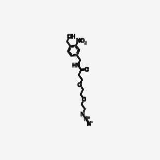 [N-]=[N+]=NCCOCCOCCC(=O)NCc1ccc(CO)c([N+](=O)[O-])c1